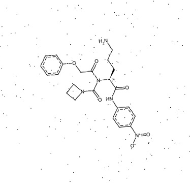 NCCC[C@@H](C(=O)Nc1ccc([N+](=O)[O-])cc1)N(C(=O)COc1ccccc1)C(=O)N1CCC1